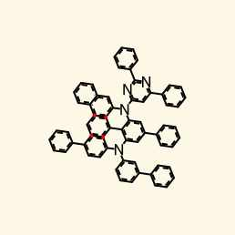 c1ccc(-c2ccc(N(c3cccc(-c4ccccc4)c3)c3cc(-c4ccccc4)cc(N(c4ccc5ccccc5c4)c4cc(-c5ccccc5)nc(-c5ccccc5)n4)c3-c3ccccc3)cc2)cc1